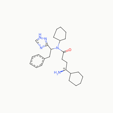 N[C@@H](CCC(=O)N(C1CCCCC1)C(Cc1ccccc1)c1nc[nH]n1)C1CCCCC1